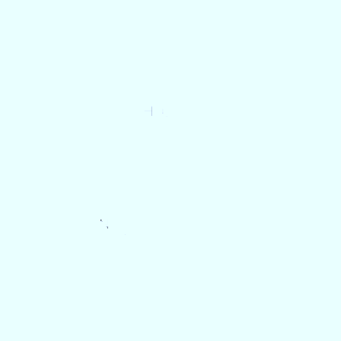 Cc1ccccc1C#CCN